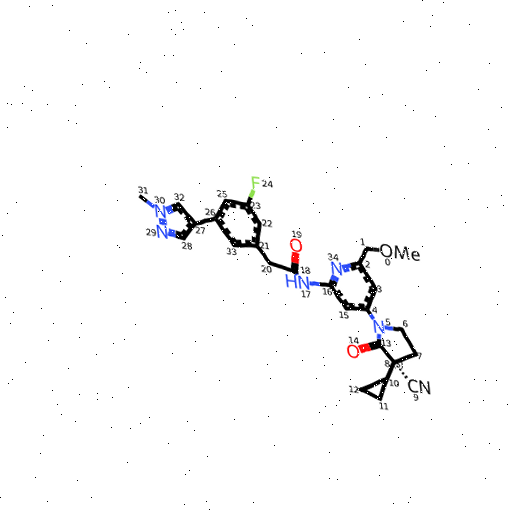 COCc1cc(N2CC[C@@](C#N)(C3CC3)C2=O)cc(NC(=O)Cc2cc(F)cc(-c3cnn(C)c3)c2)n1